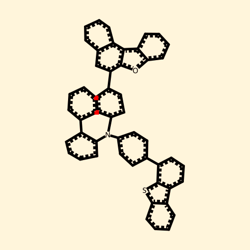 c1ccc(-c2ccccc2N(c2ccc(-c3cc4ccccc4c4c3oc3ccccc34)cc2)c2ccc(-c3cccc4c3sc3ccccc34)cc2)cc1